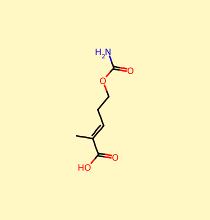 C/C(=C\CCOC(N)=O)C(=O)O